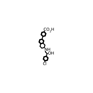 O=C(O)c1ccc(-c2ccc3c(c2)C[C@@H](NC[C@@H](O)c2ccc(Cl)cc2)CC3)cc1